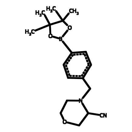 CC1(C)OB(c2ccc(CN3CCOCC3C#N)cc2)OC1(C)C